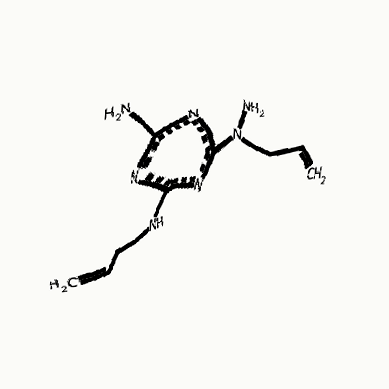 C=CCNc1nc(N)nc(N(N)CC=C)n1